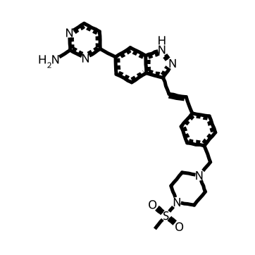 CS(=O)(=O)N1CCN(Cc2ccc(C=Cc3n[nH]c4cc(-c5ccnc(N)n5)ccc34)cc2)CC1